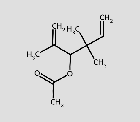 C=CC(C)(C)C(OC(C)=O)C(=C)C